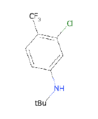 CC(C)(C)Nc1ccc(C(F)(F)F)c(Cl)c1